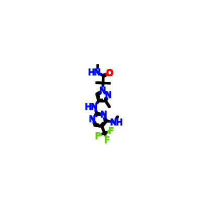 CNC(=O)C(C)(C)n1cc(Nc2ncc(C(F)(F)F)c(NC)n2)c(C)n1